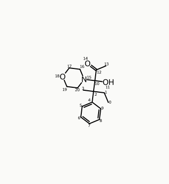 CCC(C)(c1ccccc1)C(O)(C(C)=O)N1CCOCC1